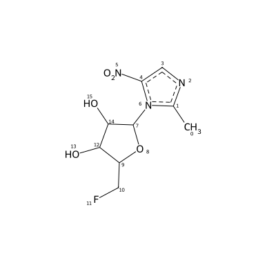 Cc1ncc([N+](=O)[O-])n1C1OC(CF)C(O)C1O